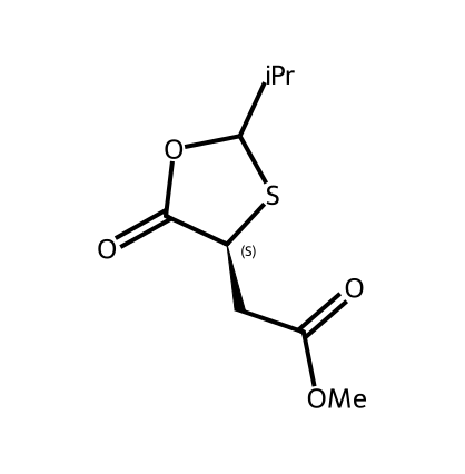 COC(=O)C[C@@H]1SC(C(C)C)OC1=O